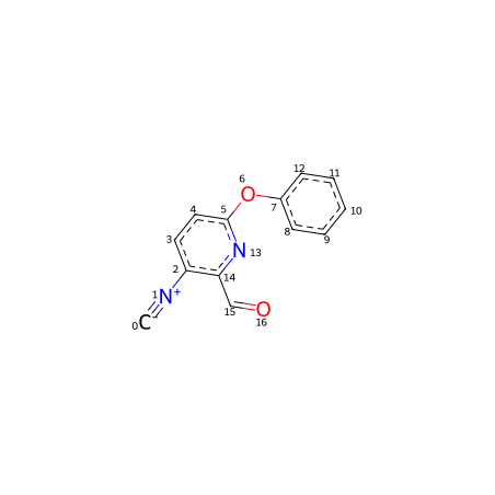 [C-]#[N+]c1ccc(Oc2ccccc2)nc1C=O